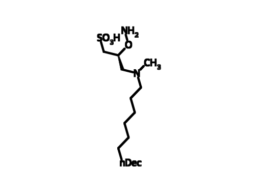 CCCCCCCCCCCCCCCCN(C)C[C@@H](CS(=O)(=O)O)ON